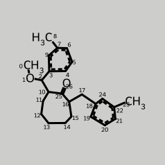 COC(c1cccc(C)c1)C1CCCCCC(Cc2cccc(C)c2)C1=O